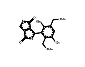 COCc1cc(C(C)(C)C)c(COC)c(-c2nc(=O)c3cnc(=O)c2=3)c1C(C)(C)C